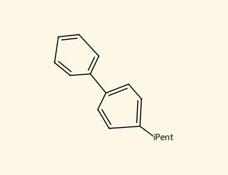 [CH2]CCC(C)c1ccc(-c2ccccc2)cc1